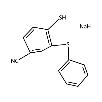 N#Cc1ccc(S)c(Sc2ccccc2)c1.[NaH]